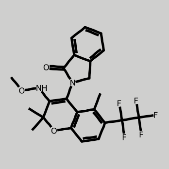 CONC1=C(N2Cc3ccccc3C2=O)c2c(ccc(C(F)(F)C(F)(F)F)c2C)OC1(C)C